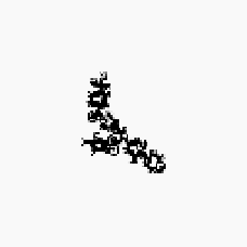 Cc1ccc(OC(=O)N(CC2C3CN(C(=O)c4ccc(C(C)(C)C)cc4)CC32)c2ccc(N3CCOCC3)nc2)s1